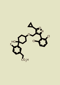 O=C(O)Cc1ccc(F)c(C2(O)CCC(OCc3c(-c4c(Cl)cccc4Cl)noc3C3CC3)CC2)c1